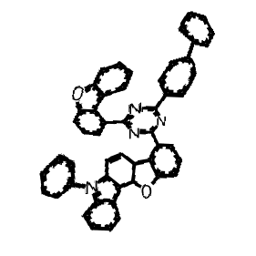 C1=CC2c3c(cccc3-c3nc(-c4ccc(-c5ccccc5)cc4)nc(-c4cccc5oc6ccccc6c45)n3)OC2c2c1n(-c1ccccc1)c1ccccc21